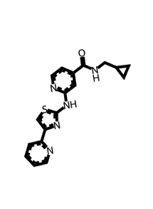 O=C(NCC1CC1)c1ccnc(Nc2nc(-c3ccccn3)cs2)c1